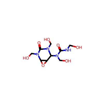 O=C(NCO)N(CO)C1C2OC2N(CO)C(=O)N1CO